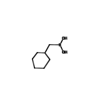 OB(O)CC1CCCCC1